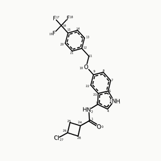 O=C(Nc1c[nH]c2ccc(OCc3ccc(C(F)(F)F)cc3)cc12)C1CC(Cl)C1